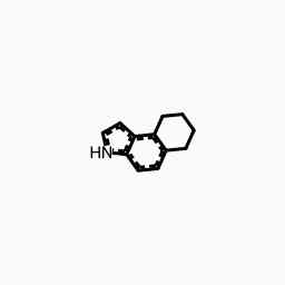 c1cc2c3c(ccc2[nH]1)CCCC3